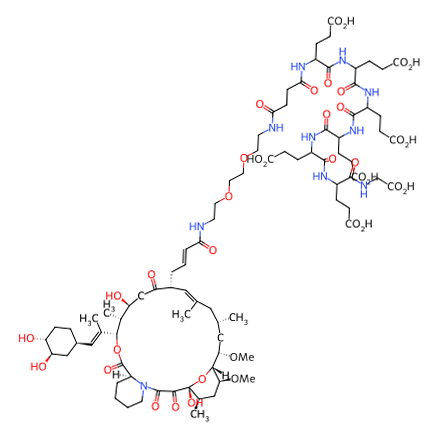 CO[C@H]1C[C@@H](C)C/C(C)=C/[C@@H](C/C=C/C(=O)NCCOCCOCCNC(=O)CCC(=O)NC(CCC(=O)O)C(=O)NC(CCC(=O)O)C(=O)NC(CCC(=O)O)C(=O)NC(CCC(=O)O)C(=O)NC(CCC(=O)O)C(=O)NC(CCC(=O)O)C(=O)NCC(=O)O)C(=O)C[C@H](O)[C@@H](C)[C@@H](/C(C)=C/[C@@H]2CC[C@@H](O)[C@H](O)C2)OC(=O)[C@@H]2CCCCN2C(=O)C(=O)[C@]2(O)O[C@H]1[C@@H](OC)C[C@H]2C